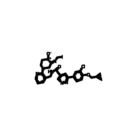 O=C(NCc1cccnc1N1CC[S+]([O-])C(=NCI)C1)c1cnnc(-c2ccc(OCC3CC3)c(Cl)c2)c1